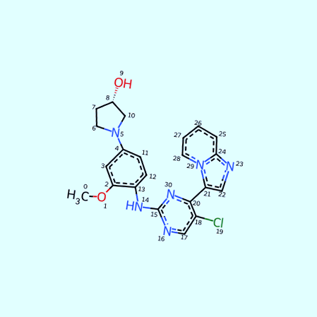 COc1cc(N2CC[C@H](O)C2)ccc1Nc1ncc(Cl)c(-c2cnc3ccccn23)n1